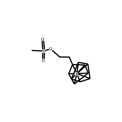 CS(=O)(=O)OCC[C]12[CH]3[CH]4[CH]5[CH]1[Fe]45321678[CH]2[CH]1[CH]6[CH]7[CH]28